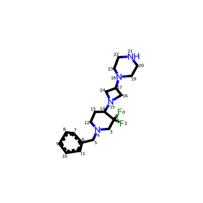 FC1(F)CN(Cc2ccccc2)CCC1N1CC(N2CCNCC2)C1